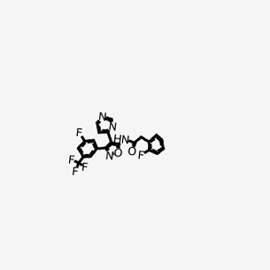 O=C(Cc1ccccc1F)Nc1onc(-c2cc(F)cc(C(F)(F)F)c2)c1-c1ccncn1